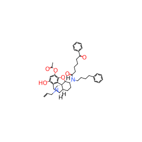 C=CCN1CC[C@]23c4c5c(O)cc(OC(C)=O)c4O[C@H]2[C@H](N(CCCCc2ccccc2)C(=O)CCCCC(=O)c2ccccc2)CC[C@H]3[C@H]1C5